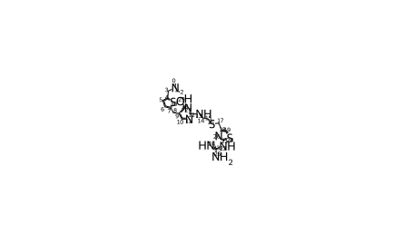 CN(C)Cc1ccc(Cc2cnc(NCCSCc3csc(NC(=N)N)n3)[nH]c2=O)s1